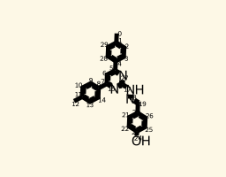 Cc1ccc(-c2cc(-c3ccc(C)cc3)nc(NN=Cc3ccc(O)cc3)n2)cc1